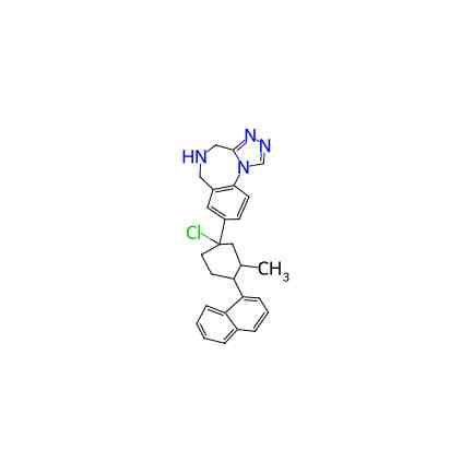 CC1CC(Cl)(c2ccc3c(c2)CNCc2nncn2-3)CCC1c1cccc2ccccc12